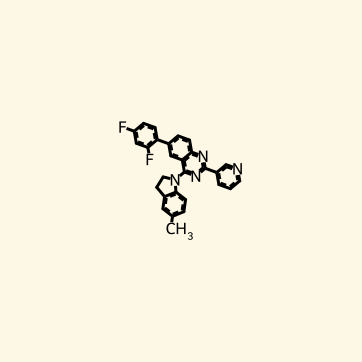 Cc1ccc2c(c1)CCN2c1nc(-c2cccnc2)nc2ccc(-c3ccc(F)cc3F)cc12